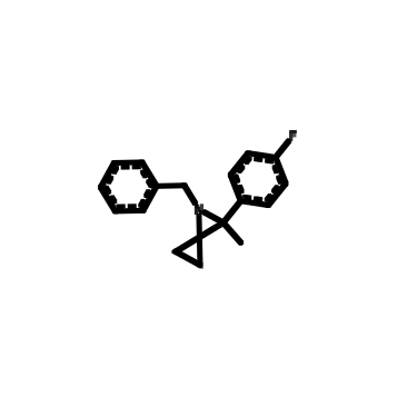 CC1(c2ccc(F)cc2)N(Cc2ccccc2)C12CC2